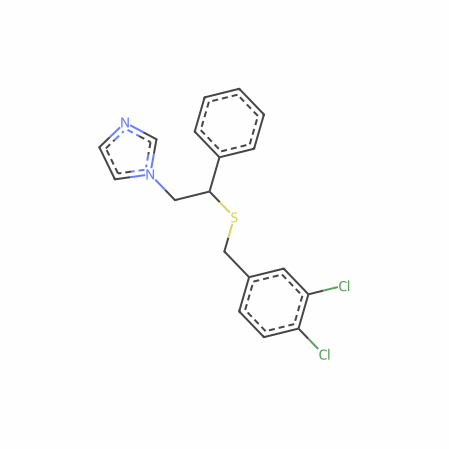 Clc1ccc(CSC(Cn2ccnc2)c2ccccc2)cc1Cl